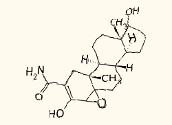 C[C@]12CC[C@H]3[C@@H](CCC45OC4C(O)=C(C(N)=O)C[C@]35C)[C@@H]1CCC2O